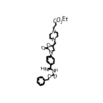 CCOC(=O)CCN1CCN(CC2CN(c3ccc(C(=N)NC(=O)OCc4ccccc4)cc3)C(=O)O2)CC1